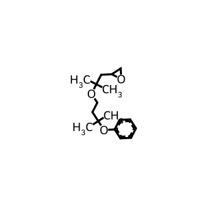 CC(C)(CC1CO1)OCCC(C)(C)Oc1ccccc1